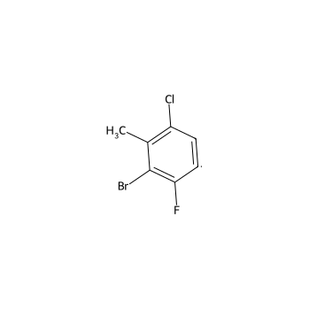 Cc1c(Cl)c[c]c(F)c1Br